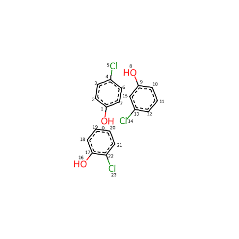 Oc1ccc(Cl)cc1.Oc1cccc(Cl)c1.Oc1ccccc1Cl